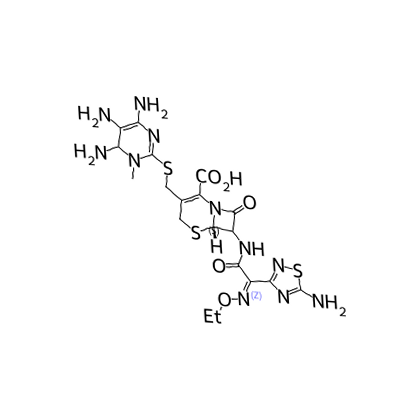 CCO/N=C(\C(=O)NC1C(=O)N2C(C(=O)O)=C(CSC3=NC(N)=C(N)C(N)N3C)CS[C@@H]12)c1nsc(N)n1